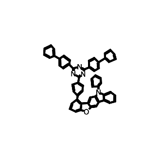 c1ccc(-c2ccc(-c3nc(-c4ccc(-c5ccccc5)cc4)nc(-c4ccc(-c5cccc6oc7cc8c9ccccc9n(-c9ccccc9)c8cc7c56)cc4)n3)cc2)cc1